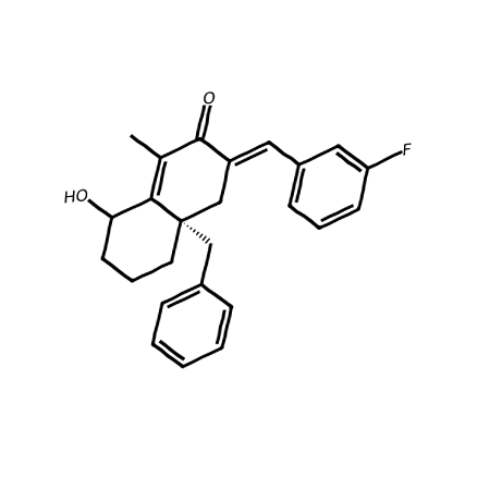 CC1=C2C(O)CCC[C@]2(Cc2ccccc2)CC(=Cc2cccc(F)c2)C1=O